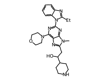 CCc1nc2ccccc2n1-c1nc(N2CCOCC2)c2nc(CC(O)C3CCNCC3)n(C)c2n1